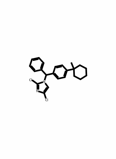 CC1(c2ccc(C(c3ccccc3)n3cc(Cl)nc3Cl)cc2)CCCCC1